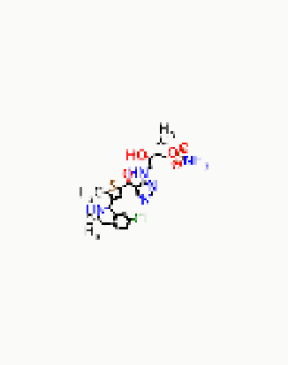 CC[C@H](COS(N)(=O)=O)[C@@H](O)CNc1ncncc1C(=O)c1cc(C2NC(C)Cc3ccc(Cl)cc32)c(C)s1